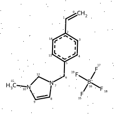 C=Cc1ccc(CN2C=CN(C)C2)cc1.F[B-](F)(F)F